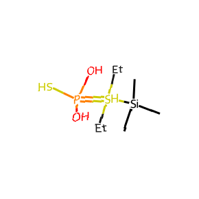 CC[SH](CC)([Si](C)(C)C)=P(O)(O)S